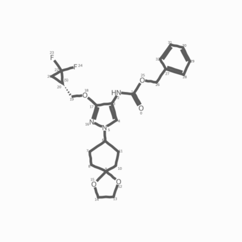 O=C(Nc1cn(C2CCC3(CC2)OCCO3)nc1OC[C@@H]1CC1(F)F)OCc1ccccc1